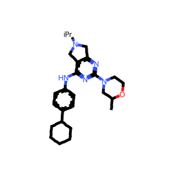 CC1CN(c2nc3c(c(Nc4ccc(C5CCCCC5)cc4)n2)CN(C(C)C)C3)CCO1